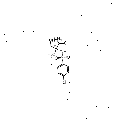 CC(C)[C@@](C)(CO)NS(=O)(=O)c1ccc(Cl)cc1